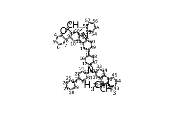 C=C1Oc2ccccc2-c2cc3c4cc(-c5ccc(N(c6ccc(-c7ccccc7)cc6)c6ccc7c(c6)C(C)(C)c6ccccc6-7)cc5)ccc4n(-c4ccccc4)c3cc21